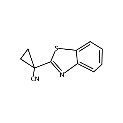 N#CC1(c2nc3ccccc3s2)CC1